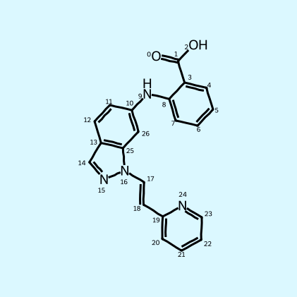 O=C(O)c1ccccc1Nc1ccc2cnn(C=Cc3ccccn3)c2c1